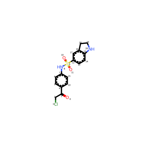 O=C(CCl)c1ccc(NS(=O)(=O)c2ccc3c(c2)CCN3)cc1